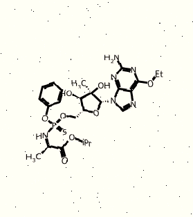 CCOc1nc(N)nc2c1ncn2[C@@H]1O[C@H](COP(=S)(N[C@H](C)C(=O)OC(C)C)Oc2ccccc2)[C@@H](O)[C@@]1(C)O